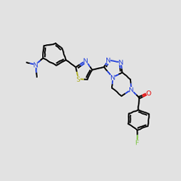 CN(C)c1cccc(-c2nc(-c3nnc4n3CCN(C(=O)c3ccc(F)cc3)C4)cs2)c1